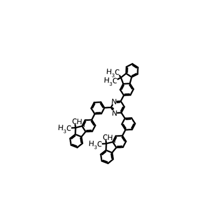 CC1(C)c2ccccc2-c2ccc(-c3cccc(-c4cc(-c5ccc6c(c5)C(C)(C)c5ccccc5-6)nc(-c5cccc(-c6ccc7c(c6)C(C)(C)c6ccccc6-7)c5)n4)c3)cc21